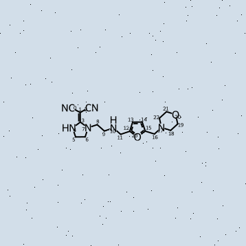 N#CC(C#N)=C1NCCN1CCNCc1ccc(CN2CCOCC2)o1